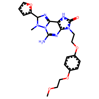 COCCOc1ccc(OCCn2c3c([nH]c2=O)C2=NC(c4ccco4)N(C)N2C(N)=N3)cc1